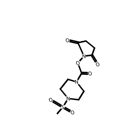 CS(=O)(=O)N1CCN(C(=O)ON2C(=O)CCC2=O)CC1